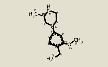 CCc1ccc(N2CCN[C@H](C)C2)cc1OC